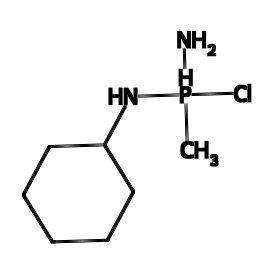 C[PH](N)(Cl)NC1CCCCC1